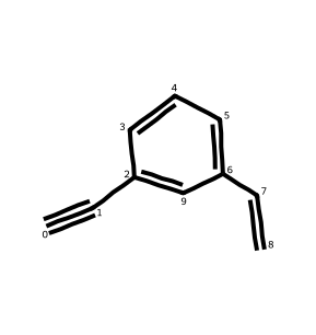 C#Cc1cccc(C=C)c1